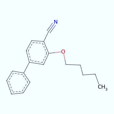 CCCCCOc1cc(-c2ccccc2)ccc1C#N